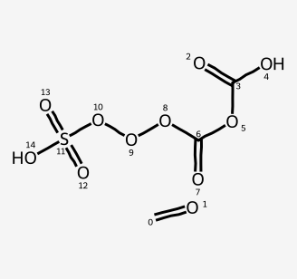 C=O.O=C(O)OC(=O)OOOS(=O)(=O)O